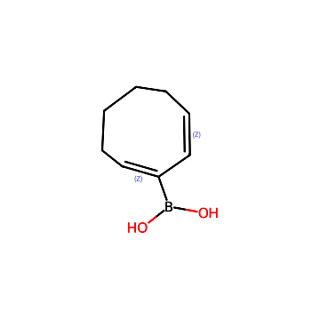 OB(O)C1=C/CCCC/C=C\1